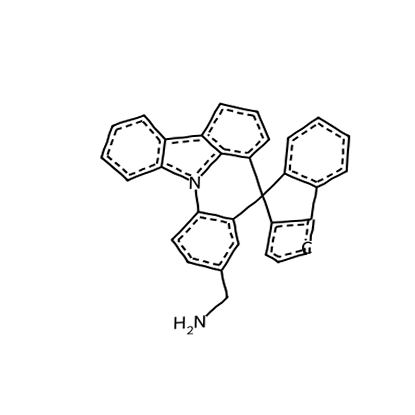 NCc1ccc2c(c1)C1(c3ccccc3-c3ccccc31)c1cccc3c4ccccc4n-2c13